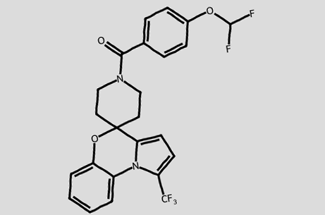 O=C(c1ccc(OC(F)F)cc1)N1CCC2(CC1)Oc1ccccc1-n1c(C(F)(F)F)ccc12